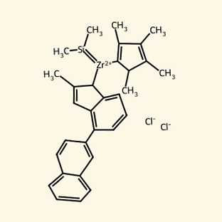 CC1=Cc2c(-c3ccc4ccccc4c3)cccc2[CH]1[Zr+2]([C]1=C(C)C(C)=C(C)C1C)=[Si](C)C.[Cl-].[Cl-]